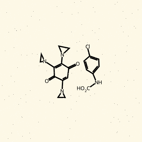 O=C(O)Nc1ccc(Cl)cc1.O=C1C=C(N2CC2)C(=O)C(N2CC2)=C1N1CC1